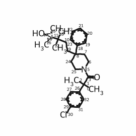 CC(C)(C(=O)N1CCC(CCC(C)(C)[Si](C)(C)O)(c2ccccc2)CC1)c1ccc(Cl)cc1